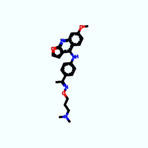 COc1ccc2c(Nc3ccc(C(C)=NOCCCN(C)C)cc3)c3ccoc3nc2c1